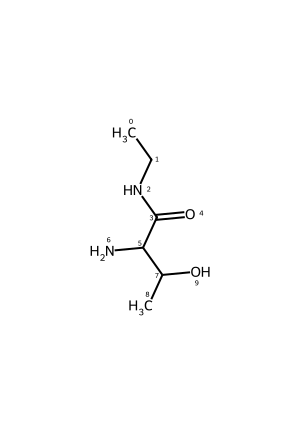 CCNC(=O)C(N)C(C)O